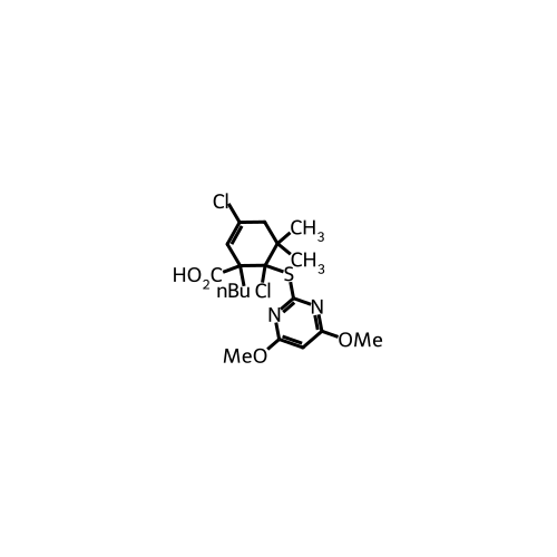 CCCCC1(C(=O)O)C=C(Cl)CC(C)(C)C1(Cl)Sc1nc(OC)cc(OC)n1